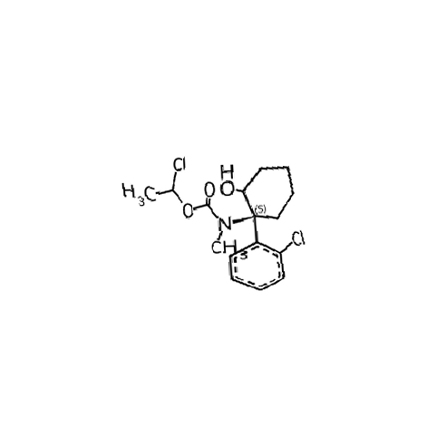 CC(Cl)OC(=O)N(C)[C@]1(c2ccccc2Cl)CCCCC1O